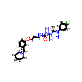 O=C(NCCCOc1cccc(CN2CCCCC2)c1)NNC(=O)Nc1ccc(Cl)cc1